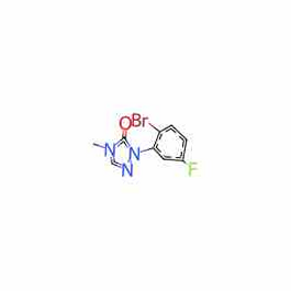 Cn1cnn(-c2cc(F)ccc2Br)c1=O